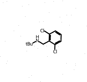 CC(C)(C)NCc1c(Cl)cccc1Cl